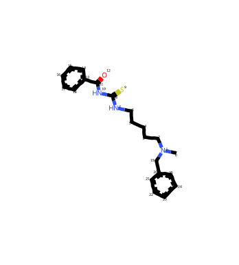 CN(CCCCCNC(=S)NC(=O)c1ccccc1)Cc1ccccc1